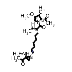 CN[C@@H](CCCCC/C=C/[C@@H]1C[C@]1(NP)C(C)=O)C(=O)N1C[C@H](OC)C(C)[C@H]1C(C)=O